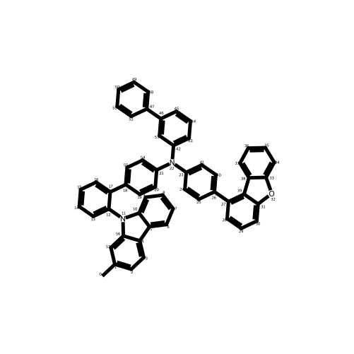 Cc1ccc2c3ccccc3n(-c3ccccc3-c3ccc(N(c4ccc(-c5cccc6oc7ccccc7c56)cc4)c4cccc(-c5ccccc5)c4)cc3)c2c1